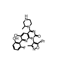 Cc1noc(C(C)C)c1-n1c(=O)nc(N2CCNCC2C)c2cc(Cl)c(-c3c(O)cccc3F)nc21